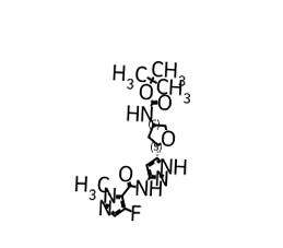 Cn1ncc(F)c1C(=O)Nc1cc([C@@H]2C[C@H](NC(=O)OC(C)(C)C)CO2)[nH]n1